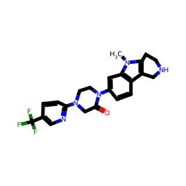 Cn1c2c(c3ccc(N4CCN(c5ccc(C(F)(F)F)cn5)CC4=O)cc31)CNCC2